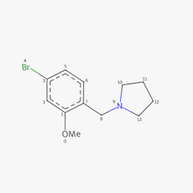 COc1cc(Br)ccc1CN1CCCC1